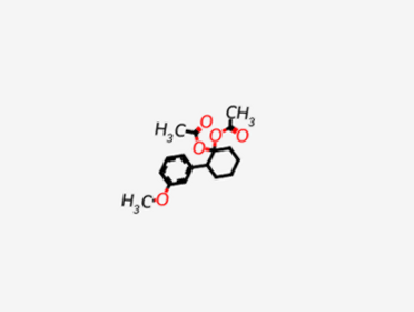 COc1cccc(C2CCCCC2(OC(C)=O)OC(C)=O)c1